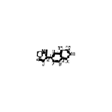 [c]1c(-c2ccon2)ccc2ccccc12